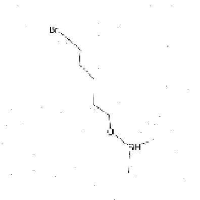 C[SiH](C)OCCCCCBr